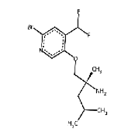 CC(C)C[C@@](C)(N)COc1cnc(Br)cc1C(F)F